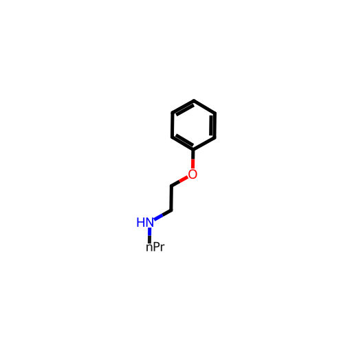 [CH2]CCNCCOc1ccccc1